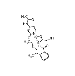 CCSSC(C)c1ccccc1C(=O)O[C@@H]1C[C@H](n2ccc(NC(C)=O)nc2=O)OC1CO